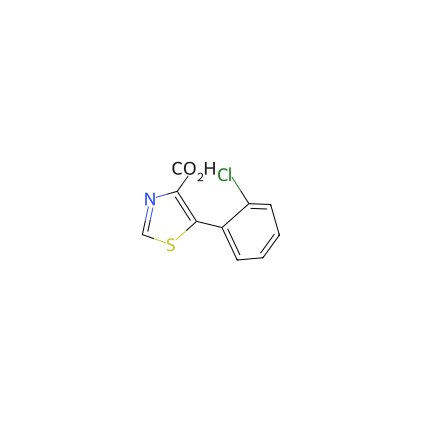 O=C(O)c1ncsc1-c1ccccc1Cl